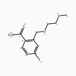 COCCOCc1cc(F)ccc1C(N)=S